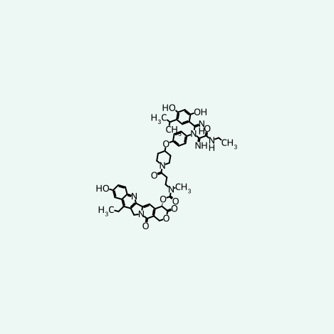 CCNC(=O)C(=N)N(C(=N)c1cc(C(C)C)c(O)cc1O)c1ccc(OC2CCN(C(=O)CCN(C)C(=O)O[C@@H]3C(=O)OCc4c3cc3n(c4=O)Cc4c-3nc3ccc(O)cc3c4CC)CC2)cc1